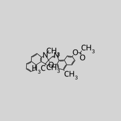 CC(=O)Oc1ccc2c(C)cc3c(c2c1)N=CC1(O3)N(C)c2ccc3ccccc3c2C1(C)C